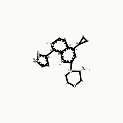 C[C@@H]1COCCN1c1cc(C2CC2)c2ccnc(-c3cc[nH]n3)c2n1